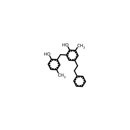 Cc1ccc(O)c(Cc2cc(CCc3ccccc3)cc(C)c2O)c1